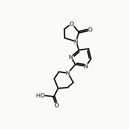 O=C(O)C1CCN(c2nccc(N3CCOC3=O)n2)CC1